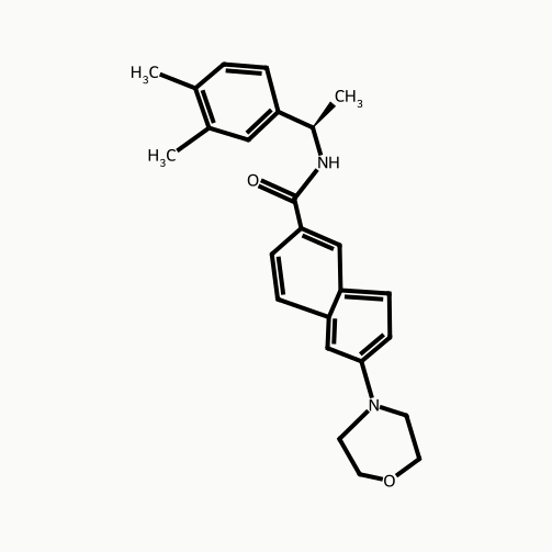 Cc1ccc([C@@H](C)NC(=O)c2ccc3cc(N4CCOCC4)ccc3c2)cc1C